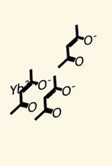 CC(=O)/C=C(/C)[O-].CC(=O)/C=C(/C)[O-].CC(=O)/C=C(/C)[O-].[Yb+3]